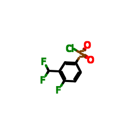 O=S(=O)(Cl)c1ccc(F)c(C(F)F)c1